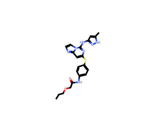 CCCOCC(=O)Nc1ccc(Sc2cc3nccn3c(Nc3cc(C)[nH]n3)n2)cc1